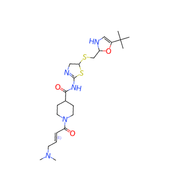 CN(C)C/C=C/C(=O)N1CCC(C(=O)NC2=NCC(SCC3NC=C(C(C)(C)C)O3)S2)CC1